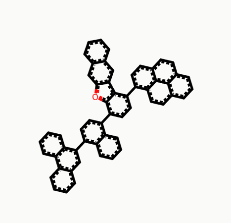 c1ccc2cc3c(cc2c1)oc1c(-c2ccc(-c4cc5ccccc5c5ccccc45)c4ccccc24)ccc(-c2ccc4ccc5cccc6ccc2c4c56)c13